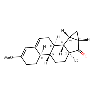 CC[C@]12CC[C@H]3[C@@H](CC=C4C=C(OC)CC[C@@H]43)[C@@H]1[C@@H]1C[C@@H]1C2=O